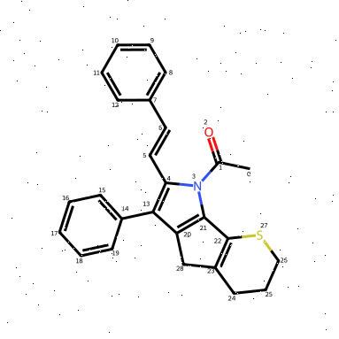 CC(=O)n1c(C=Cc2ccccc2)c(-c2ccccc2)c2c1C1=C(CCCS1)C2